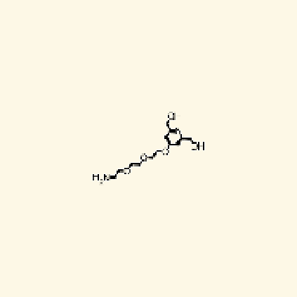 NCCOCCOCCOc1cc(CO)nc(CO)c1